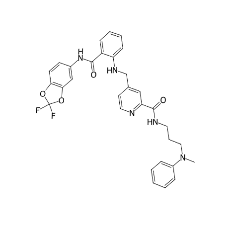 CN(CCCNC(=O)c1cc(CNc2ccccc2C(=O)Nc2ccc3c(c2)OC(F)(F)O3)ccn1)c1ccccc1